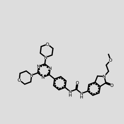 COCCN1Cc2cc(NC(=O)Nc3ccc(-c4nc(N5CCOCC5)nc(N5CCOCC5)n4)cc3)ccc2C1=O